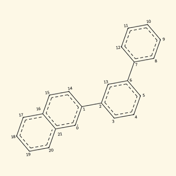 [c]1c(-c2cccc(-c3ccccc3)c2)ccc2ccccc12